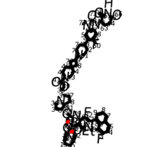 CCc1c(F)ccc2cccc(-c3ncc4c(N5CC6CCC(C5)N6C(=O)OC(C)(C)C)nc(OC[C@]56CCCN5[C@H](COC(=O)N5CCC7(CC5)CC(N5CCC(c8cc9c(cc8F)n(C8CCC(=O)NC8=O)c(=O)n9C)CC5)C7)CC6)nc4c3F)c12